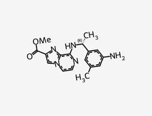 COC(=O)c1cn2ccnc(N[C@H](C)c3cc(C)cc(N)c3)c2n1